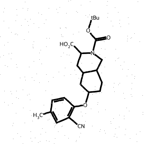 Cc1ccc(OC2CCC3CN(C(=O)OC(C)(C)C)C(C(=O)O)CC3C2)c(C#N)c1